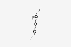 CCCCCCCc1ccc(C#Cc2ccc(C#Cc3ccc(CCCCCC)cc3)cc2)c(F)c1